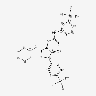 O=C(CN1C(=O)N(c2ccc(C(F)(F)F)nc2)C[C@@H]1CC1CCCCC1)Nc1cccc(C(F)(F)F)c1